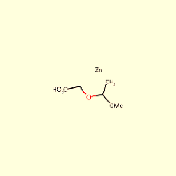 COC(C)OCC(=O)O.[Zn]